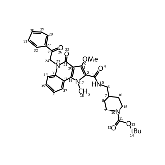 COc1c(C(=O)NCC2CCN(C(=O)OC(C)(C)C)CC2)n(C)c2c1c(=O)n(CC(=O)c1ccccc1)c1ccccc21